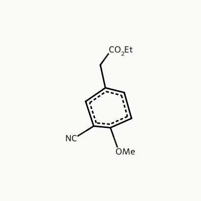 CCOC(=O)Cc1ccc(OC)c(C#N)c1